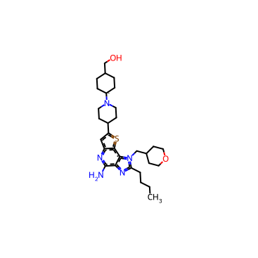 CCCCc1nc2c(N)nc3cc(C4CCN([C]5CCC(CO)CC5)CC4)sc3c2n1CC1CCOCC1